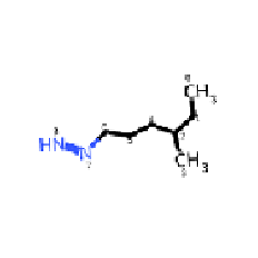 CCC(C)CCCN=N